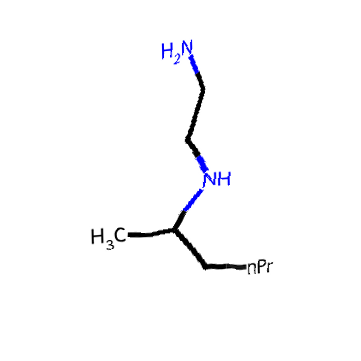 CCCCC(C)NCCN